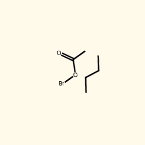 CC(=O)OBr.CCCC